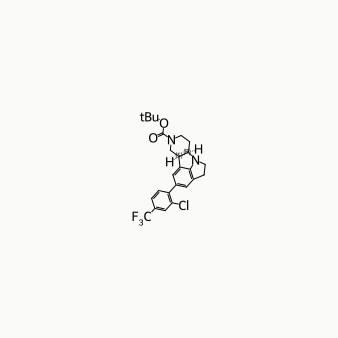 CC(C)(C)OC(=O)N1CC[C@@H]2[C@H](C1)c1cc(-c3ccc(C(F)(F)F)cc3Cl)cc3c1N2CC3